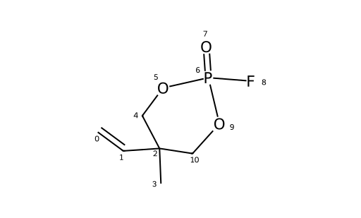 C=CC1(C)COP(=O)(F)OC1